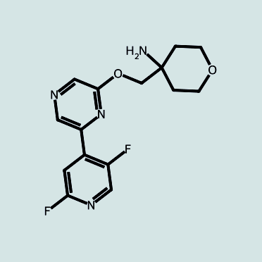 NC1(COc2cncc(-c3cc(F)ncc3F)n2)CCOCC1